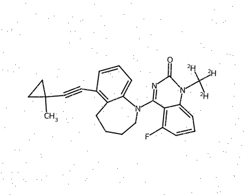 [2H]C([2H])([2H])n1c(=O)nc(N2CCCCc3c(C#CC4(C)CC4)cccc32)c2c(F)cccc21